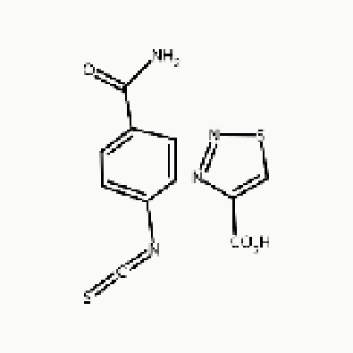 NC(=O)c1ccc(N=C=S)cc1.O=C(O)c1csnn1